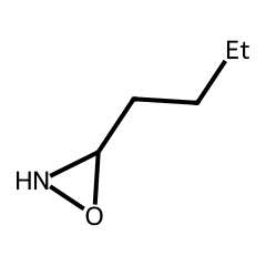 CCCCC1NO1